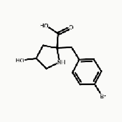 O=C(O)C1(Cc2ccc(Br)cc2)CC(O)CN1